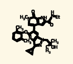 CCNC(=O)c1cc2c(-c3cc4c(nc3Oc3c(C)cccc3C)c(C3CC3)nn4CC(C)(C)O)cn(C)c(=O)c2[nH]1